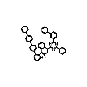 c1ccc(-c2ccc(-c3ccc(-c4cccc5oc6cc(-c7nc(-c8ccccc8)nc(-c8cccc(-c9ccccc9)c8)n7)c7ccccc7c6c45)cc3)cc2)cc1